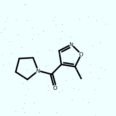 Cc1oncc1C(=O)N1CCCC1